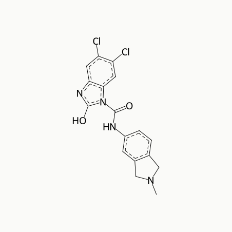 CN1Cc2ccc(NC(=O)n3c(O)nc4cc(Cl)c(Cl)cc43)cc2C1